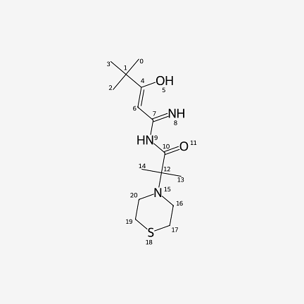 CC(C)(C)/C(O)=C/C(=N)NC(=O)C(C)(C)N1CCSCC1